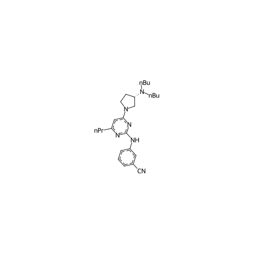 CCCCN(CCCC)[C@H]1CCN(c2cc(CCC)nc(Nc3cccc(C#N)c3)n2)C1